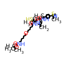 C=C1C[C@@H](C(=O)N[C@@H](C)c2ccc(-c3scnc3C)cc2)N(C(=O)[C@@H](NC(=O)CCCCCOCCCCCCNC(=O)OC(C)(C)C)C(C)(C)S)C1